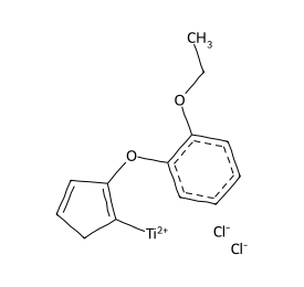 CCOc1ccccc1OC1=[C]([Ti+2])CC=C1.[Cl-].[Cl-]